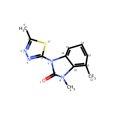 Cc1nnc(-n2c(=O)n(C)c3c(C(F)(F)F)cccc32)s1